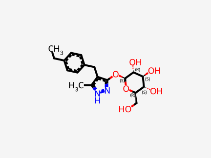 CCc1ccc(Cc2c(O[C@@H]3O[C@H](CO)[C@@H](O)[C@H](O)[C@H]3O)n[nH]c2C)cc1